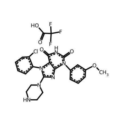 COc1cccc(-n2c(=O)[nH]c(=O)c3c2nc(N2CCNCC2)n3-c2ccccc2Cl)c1.O=C(O)C(F)(F)F